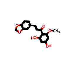 COc1cc(O)cc(O)c1C(=O)C=Cc1ccc2c(c1)OCO2